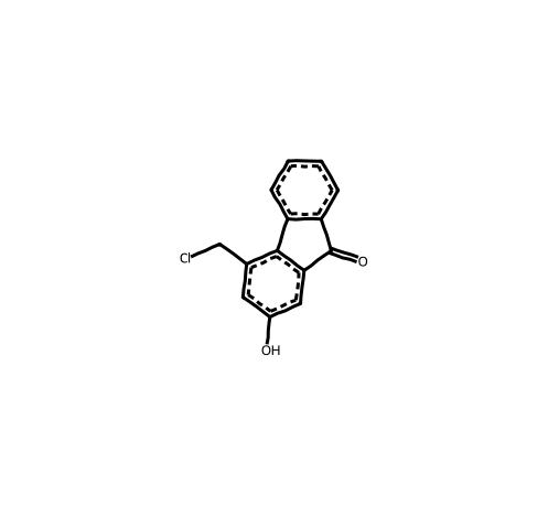 O=C1c2ccccc2-c2c(CCl)cc(O)cc21